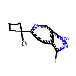 N#CC1(c2cc3c(I)n[nH]c3cn2)CCC1